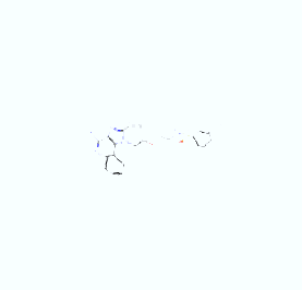 CCCCc1nc2c(N)nc3ccccc3c2n1CCOCCNS(=O)(=O)c1cccc(C#N)c1